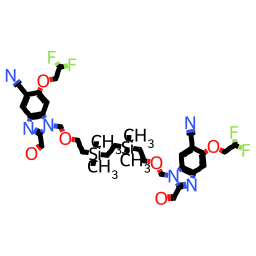 C[Si](C)(CCOCn1c(C=O)nc2cc(OCC(F)F)c(C#N)cc21)CC[Si](C)(C)CCOCn1c(C=O)nc2cc(C#N)c(OCC(F)F)cc21